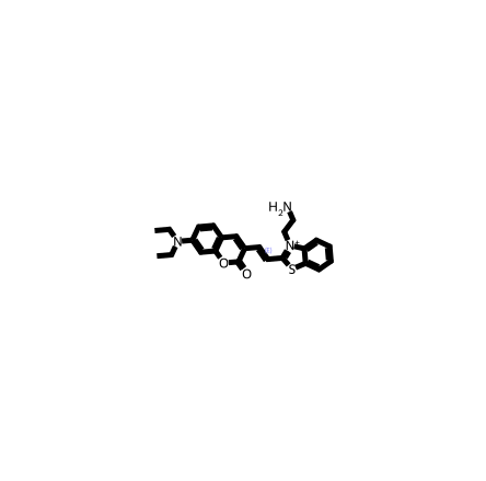 CCN(CC)c1ccc2cc(/C=C/c3sc4ccccc4[n+]3CCN)c(=O)oc2c1